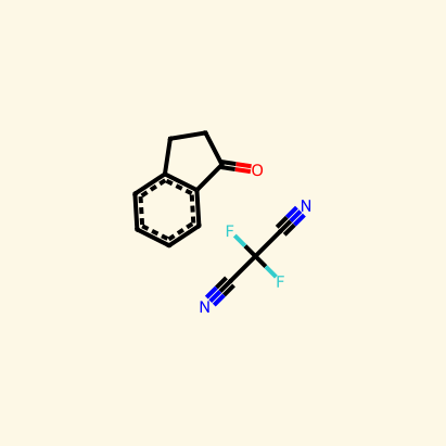 N#CC(F)(F)C#N.O=C1CCc2ccccc21